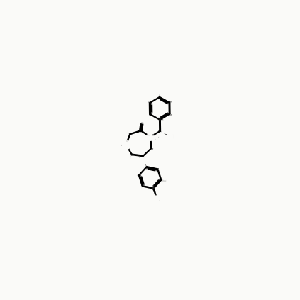 C[C@H](c1ccccc1)N1C[C@H](c2ccc(Br)cc2)COCC1=O